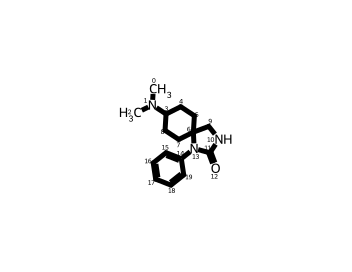 CN(C)C1CCC2(CC1)CNC(=O)N2c1ccccc1